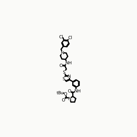 CC(C)(C)OC(=O)N1CCCC1C(=O)Nc1cccc(-c2csc(SCC(=O)NC3CCN(Cc4ccc(Cl)c(Cl)c4)CC3)n2)c1